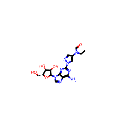 CCN(C=O)c1cnn(-c2nc(N)c3ncn(C4O[C@H](CO)[C@@H](O)C4O)c3n2)c1